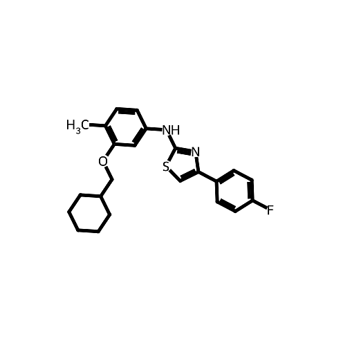 Cc1ccc(Nc2nc(-c3ccc(F)cc3)cs2)cc1OCC1CCCCC1